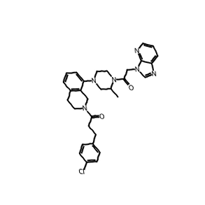 CC1CN(c2cccc3c2CN(C(=O)CCc2ccc(Cl)cc2)CC3)CCN1C(=O)Cn1cnc2cccnc21